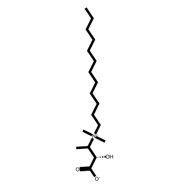 CCCCCCCCCCCC[N+](C)(C)C(C)[C@H](O)C(=O)[O-]